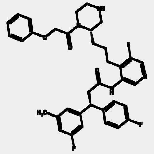 Cc1cc(F)cc([C@@H](CC(=O)Nc2cncc(F)c2CCC[C@H]2CNCCN2C(=O)COc2ccccc2)c2ccc(F)cc2)c1